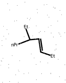 CCC=CC(CC)CCC